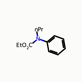 CCCN(C(=O)OCC)c1ccccc1